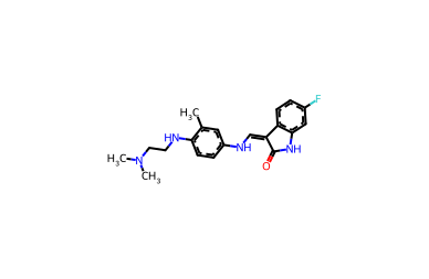 Cc1cc(NC=C2C(=O)Nc3cc(F)ccc32)ccc1NCCN(C)C